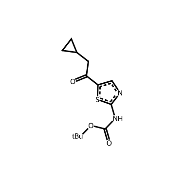 CC(C)(C)OC(=O)Nc1ncc(C(=O)CC2CC2)s1